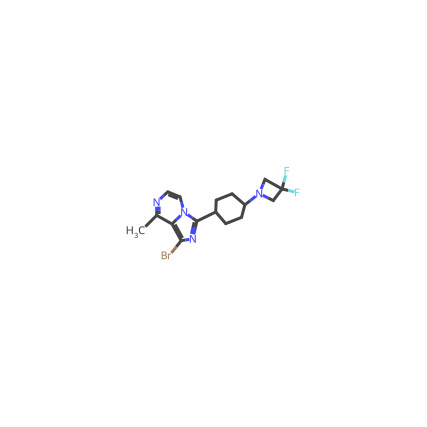 Cc1nccn2c(C3CCC(N4CC(F)(F)C4)CC3)nc(Br)c12